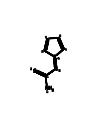 NC(=S)N=S1C=CC=C1